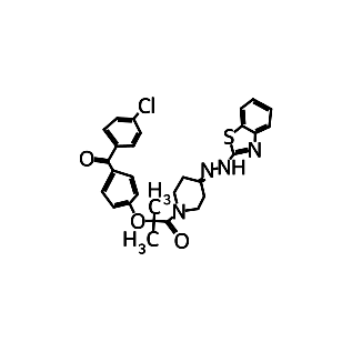 CC(C)(Oc1ccc(C(=O)c2ccc(Cl)cc2)cc1)C(=O)N1CCC(=NNc2nc3ccccc3s2)CC1